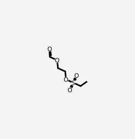 CCS(=O)(=O)OCCOC=O